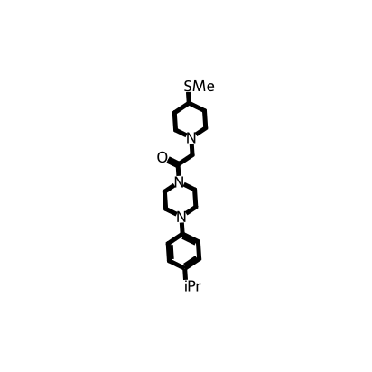 CSC1CCN(CC(=O)N2CCN(c3ccc(C(C)C)cc3)CC2)CC1